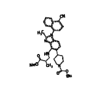 COC(=O)C(C)CNc1c(C2CCN(C(=O)OC(C)(C)C)CC2)ccc2c1nc(C)n2-c1ccc(C#N)c2ccccc12